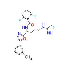 Cc1cccc(-c2cnc(C(CCCNC(=N)CF)NC(=O)c3c(F)cccc3F)o2)c1